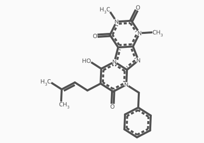 CC(C)=CCc1c(O)n2c3c(=O)n(C)c(=O)n(C)c3nc2n(Cc2ccccc2)c1=O